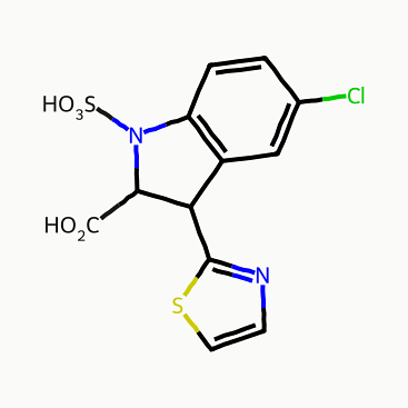 O=C(O)C1C(c2nccs2)c2cc(Cl)ccc2N1S(=O)(=O)O